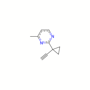 C#CC1(c2nccc(C)n2)CC1